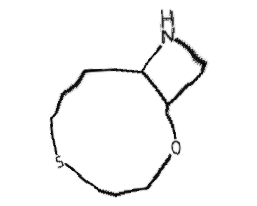 C1CSCCC2NCC2O1